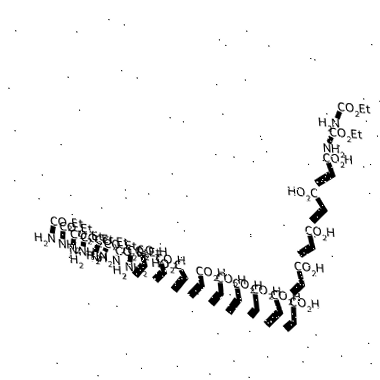 C=CC(=O)O.C=CC(=O)O.C=CC(=O)O.C=CC(=O)O.C=CC(=O)O.C=CC(=O)O.C=CC(=O)O.C=CC(=O)O.C=CC(=O)O.C=CC(=O)O.C=CC(=O)O.C=CC(=O)O.C=CC(=O)O.CCOC(N)=O.CCOC(N)=O.CCOC(N)=O.CCOC(N)=O.CCOC(N)=O.CCOC(N)=O.CCOC(N)=O.CCOC(N)=O.CCOC(N)=O.CCOC(N)=O